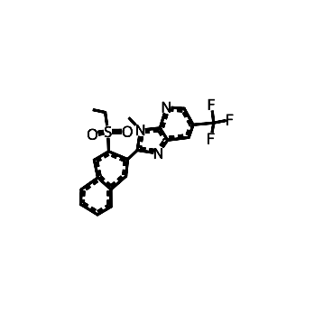 CCS(=O)(=O)c1cc2ccccc2cc1-c1nc2cc(C(F)(F)F)cnc2n1C